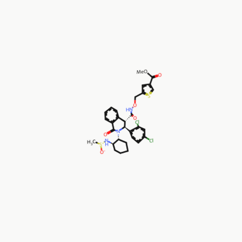 COC(=O)c1csc(CONC(=O)[C@H]2c3ccccc3C(=O)N([C@@H]3CCCC[C@H]3N[S+](C)[O-])[C@@H]2c2ccc(Cl)cc2Cl)c1